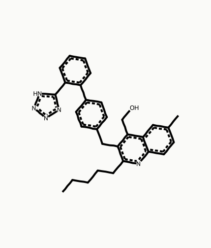 CCCCCc1nc2ccc(C)cc2c(CO)c1Cc1ccc(-c2ccccc2-c2nnn[nH]2)cc1